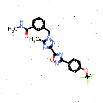 CNC(=O)c1cccc(Cn2nc(-c3nc(-c4ccc(OC(F)(F)F)cc4)no3)nc2C)c1